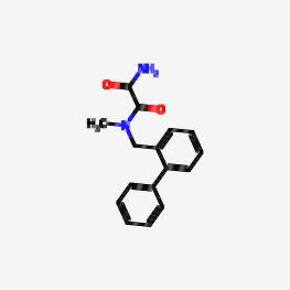 CN(Cc1ccccc1-c1ccccc1)C(=O)C(N)=O